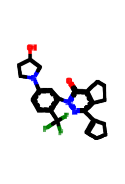 O=c1c2c(c(C3=CCCC3)nn1-c1cc(N3CCC(O)C3)ccc1C(F)(F)F)CCC2